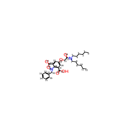 CCCCCCN(CCCCCC)C(=O)COc1cc(C(=O)O)c2c(c1)c(=O)on2Cc1ccccc1